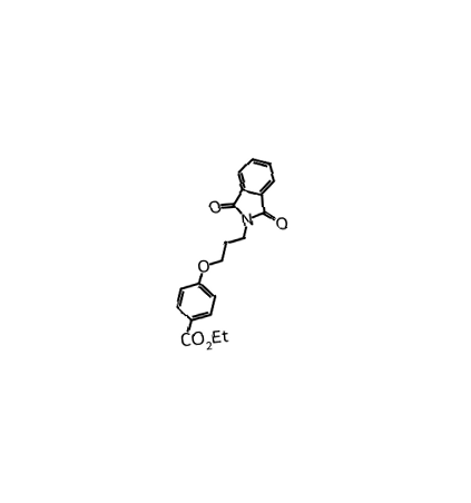 CCOC(=O)c1ccc(OCCCN2C(=O)c3ccccc3C2=O)cc1